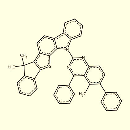 Cc1c(-c2ccccc2)ccc2nc(-n3c4ccccc4c4ccc5c6c(sc5c43)-c3ccccc3C6(C)C)nc(-c3ccccc3)c12